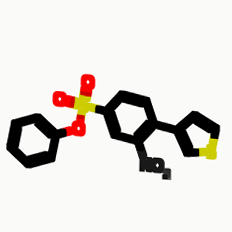 O=[N+]([O-])c1cc(S(=O)(=O)Oc2ccccc2)ccc1-c1ccsc1